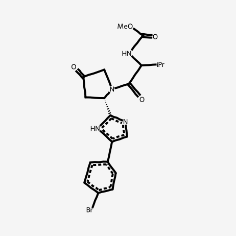 COC(=O)NC(C(=O)N1CC(=O)C[C@H]1c1ncc(-c2ccc(Br)cc2)[nH]1)C(C)C